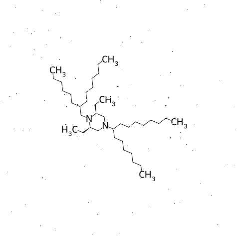 CCCCCCCCC(CCCCCCC)N1C[C@@H](CC)N(CC(CCCCCC)CCCCCCC)[C@@H](CC)C1